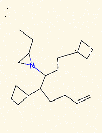 C=CCCC(C1CCC1)C(CCC1CCC1)N1CC1CC